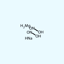 O=NO.O=NO.[MgH2].[NaH]